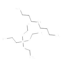 CCCCNCCCC.CCC[Si](OCC)(OCC)OCC